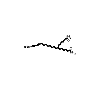 CCCCCCCCCC#CC#CCCCCCCCCC(CCCCCC(N)=O)CCCCCC(N)=O